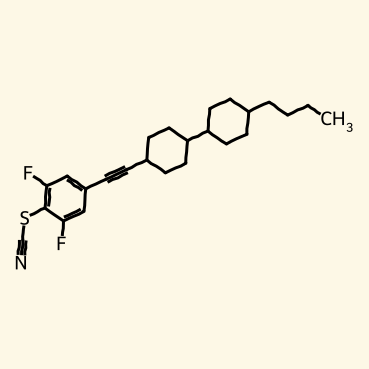 CCCCC1CCC(C2CCC(C#Cc3cc(F)c(SC#N)c(F)c3)CC2)CC1